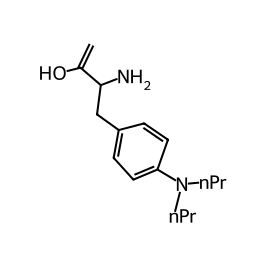 C=C(O)C(N)Cc1ccc(N(CCC)CCC)cc1